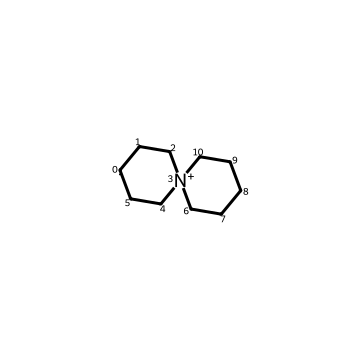 [CH]1CC[N+]2(CC1)CCCCC2